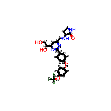 O=C1NCCC1NCc1cc([C@H](O)CO)nc(-c2ccc(Oc3ccc(OC(F)(F)F)cc3)cc2)n1